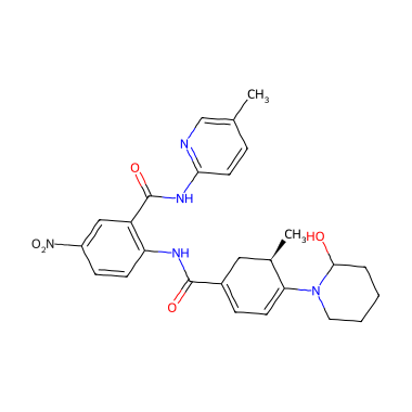 Cc1ccc(NC(=O)c2cc([N+](=O)[O-])ccc2NC(=O)C2=CC=C(N3CCCCC3O)[C@H](C)C2)nc1